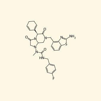 CN(C(=O)NCc1ccc(F)cc1)N1CC(=O)N2C1CN(Cc1cccc3sc(N)nc13)C(=O)[C@@H]2C1=CCCC=C1